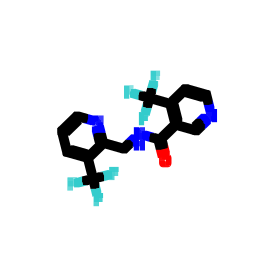 O=C(NCc1ncccc1C(F)(F)F)c1cnccc1C(F)(F)F